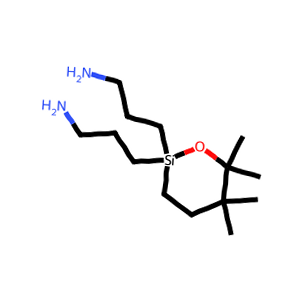 CC1(C)CC[Si](CCCN)(CCCN)OC1(C)C